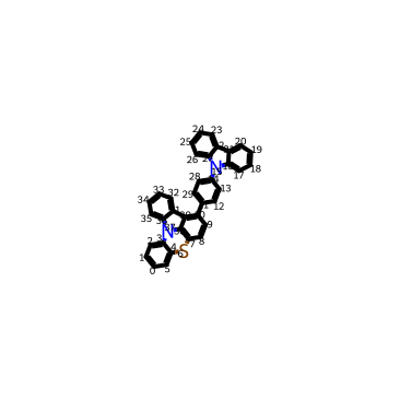 c1ccc2c(c1)Sc1ccc(-c3ccc(-n4c5ccccc5c5ccccc54)cc3)c3c4ccccc4n-2c13